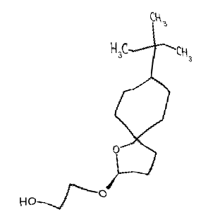 CC(C)(C)C1CCC2(CC1)CC[C@@H](OCCO)O2